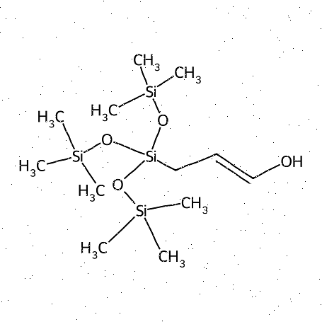 C[Si](C)(C)O[Si](CC=CO)(O[Si](C)(C)C)O[Si](C)(C)C